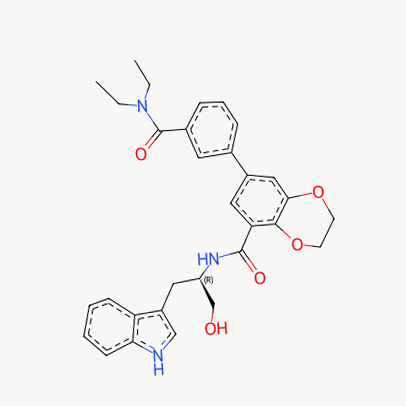 CCN(CC)C(=O)c1cccc(-c2cc3c(c(C(=O)N[C@@H](CO)Cc4c[nH]c5ccccc45)c2)OCCO3)c1